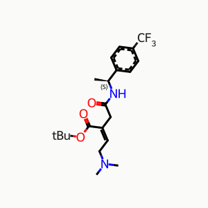 C[C@H](NC(=O)CC(=CCN(C)C)C(=O)OC(C)(C)C)c1ccc(C(F)(F)F)cc1